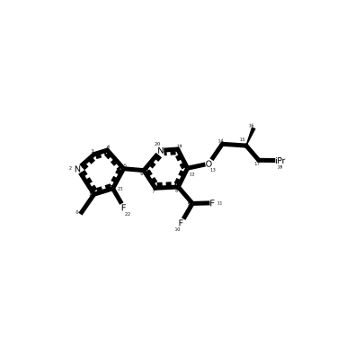 Cc1nccc(-c2cc(C(F)F)c(OC[C@@H](C)CC(C)C)cn2)c1F